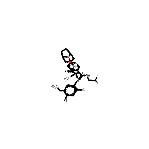 CC(C)(Oc1cc(CC(=O)O)c(Cl)cc1Cl)C(=O)NC1CC2CCC(C1)N2c1ccc(C(=O)NCC(F)F)cn1